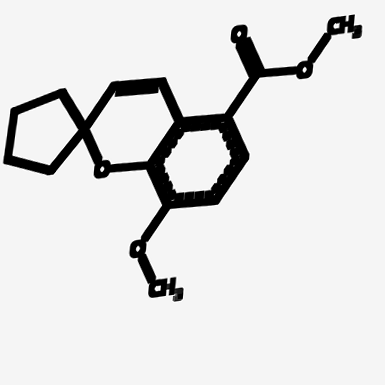 COC(=O)c1ccc(OC)c2c1C=CC1(CCCC1)O2